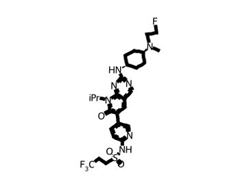 CC(C)n1c(=O)c(-c2ccc(NS(=O)(=O)CCC(F)(F)F)nc2)cc2cnc(N[C@H]3CC[C@H](N(C)CCF)CC3)nc21